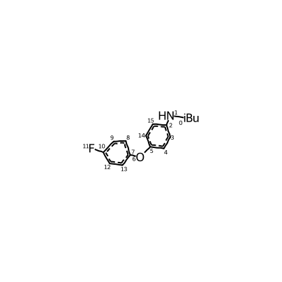 CCC(C)Nc1ccc(Oc2ccc(F)cc2)cc1